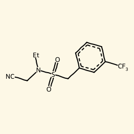 CCN(CC#N)S(=O)(=O)Cc1cccc(C(F)(F)F)c1